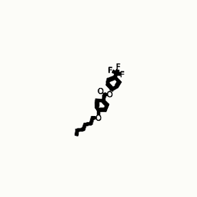 CCCCCCOc1ccc(C(=O)Oc2ccc(C(F)(F)F)cc2)cc1